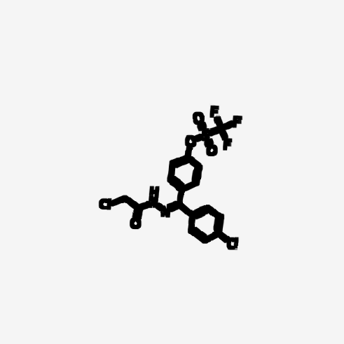 O=C(CCl)NN=C(c1ccc(Cl)cc1)c1ccc(OS(=O)(=O)C(F)(F)F)cc1